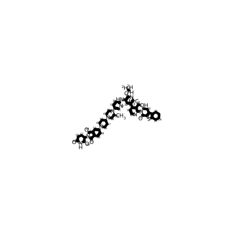 [2H]C([2H])([2H])Oc1ncc(-c2ccnc(N3CCc4c(sc5c4CCCC5)C3=O)c2[C@H](C)O)cc1Nc1ccc(N2CCN(C3CCN(c4ccc5c(c4)C(=O)N(C4CCC(=O)NC4=O)C5=O)CC3)C[C@@H]2C)cn1